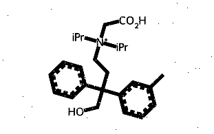 Cc1cccc(C(CO)(CC[N+](CC(=O)O)(C(C)C)C(C)C)c2ccccc2)c1